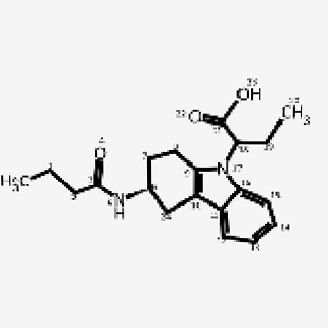 CCCC(=O)N[C@H]1CCc2c(c3ccccc3n2C(CC)C(=O)O)C1